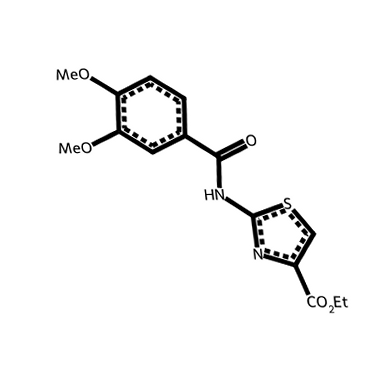 CCOC(=O)c1csc(NC(=O)c2ccc(OC)c(OC)c2)n1